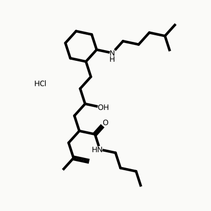 C=C(C)CC(CC(O)CCC1CCCCC1NCCCC(C)C)C(=O)NCCCC.Cl